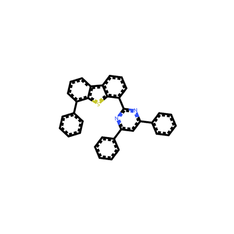 c1ccc(-c2cc(-c3ccccc3)nc(-c3cccc4c3sc3c(-c5ccccc5)cccc34)n2)cc1